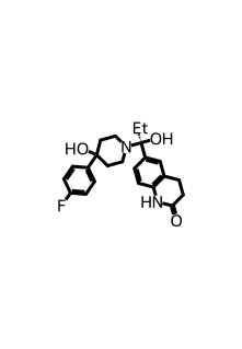 CC[C@](O)(c1ccc2c(c1)CCC(=O)N2)N1CCC(O)(c2ccc(F)cc2)CC1